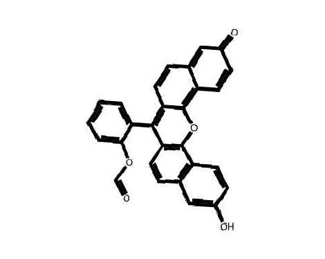 O=COc1ccccc1-c1c2ccc3cc(O)ccc3c2oc2c1ccc1cc(=O)ccc12